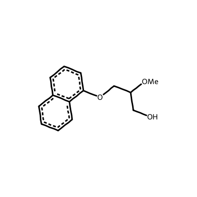 COC(CO)COc1cccc2ccccc12